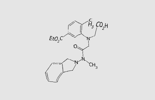 CCOC(=O)c1ccc(C)c(N(CC(=O)O)CC(=O)N(C)N2Cc3ccccc3C2)c1